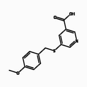 COc1ccc(CSc2cncc(C(=O)O)c2)cc1